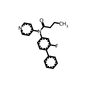 CCCC(=O)N(c1ccncc1)c1ccc(-c2ccccc2)c(F)c1